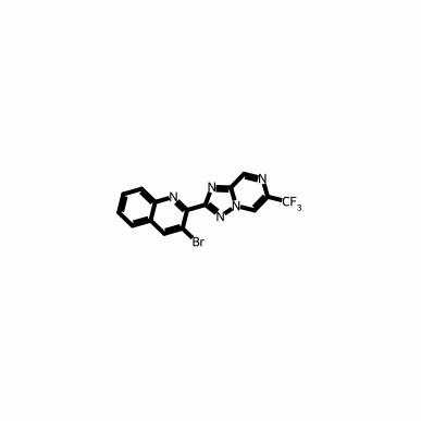 FC(F)(F)c1cn2nc(-c3nc4ccccc4cc3Br)nc2cn1